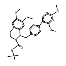 COc1ncc(-c2ccc(CC3c4cc(OC)c(OC)cc4CCN3C(=O)OC(C)(C)C)cc2)c(OC)n1